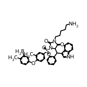 Bc1cc(Oc2ccc(S(=O)(=O)N3C(=O)N(CCCCCN)C(=O)C3C(c3ccccc3)c3c[nH]c4ccccc34)cc2C)ccc1C